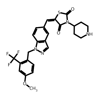 COc1ccc(Cn2ncc3cc(C=C4SC(=O)N(C5CCNCC5)C4=O)ccc32)c(C(F)(F)F)c1